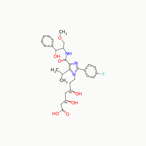 COCC(NC(=O)c1nc(-c2ccc(F)cc2)n(CC[C@@H](O)C[C@@H](O)CC(=O)O)c1C(C)C)C(O)c1ccccc1